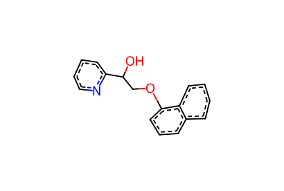 OC(COc1cccc2ccccc12)c1ccccn1